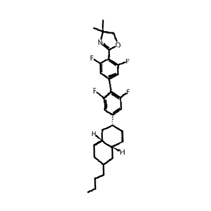 CCCCC1CC[C@@H]2C[C@H](c3cc(F)c(-c4cc(F)c(C5=NC(C)(C)CO5)c(F)c4)c(F)c3)CC[C@@H]2C1